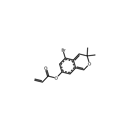 C=CC(=O)Oc1cc(Br)c2c(c1)=COC(C)(C)C=2